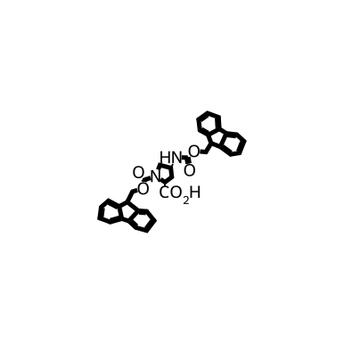 O=C(N[C@@H]1C[C@H](C(=O)O)N(C(=O)OCC2c3ccccc3-c3ccccc32)C1)OCC1c2ccccc2-c2ccccc21